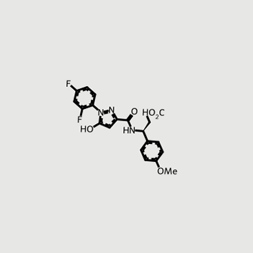 COc1ccc([C@H](CC(=O)O)NC(=O)c2cc(O)n(-c3ccc(F)cc3F)n2)cc1